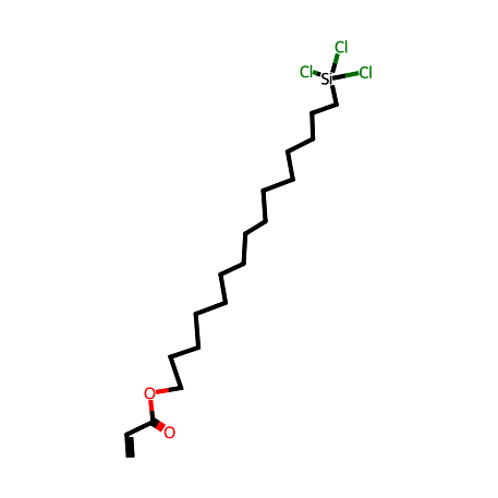 C=CC(=O)OCCCCCCCCCCCCCCC[Si](Cl)(Cl)Cl